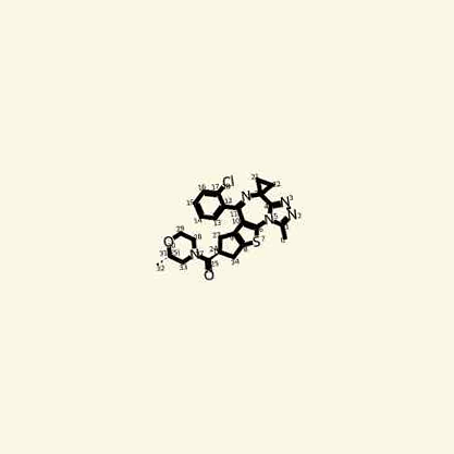 Cc1nnc2n1-c1sc3c(c1C(c1ccccc1Cl)=NC21CC1)C[C@H](C(=O)N1CCO[C@@H](C)C1)C3